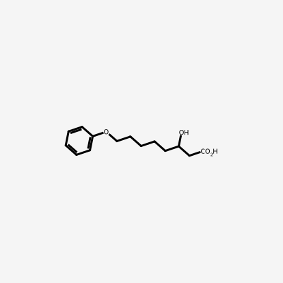 O=C(O)CC(O)CCCCCOc1ccccc1